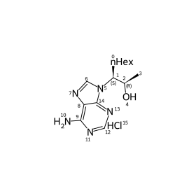 CCCCCC[C@@H]([C@@H](C)O)n1cnc2c(N)ncnc21.Cl